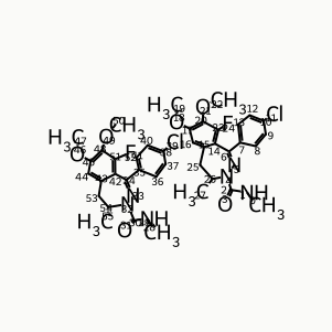 CNC(=O)N1N=C(c2ccc(Cl)cc2)c2c(cc(OC)c(OC)c2F)CC1C.CNC(=O)N1N=C(c2ccc(Cl)cc2)c2c(cc(OC)c(OC)c2F)C[C@H]1C